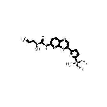 C=CCN(S)C(=O)Nc1ccc2ncc(-c3ccc([Si](C)(C)C)o3)nc2n1